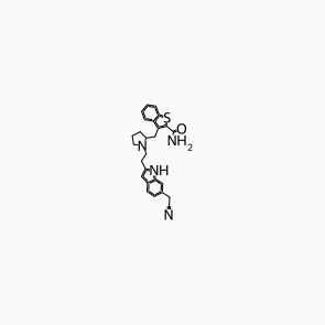 N#CCc1ccc2cc(CCN3CCCC3Cc3c(C(N)=O)sc4ccccc34)[nH]c2c1